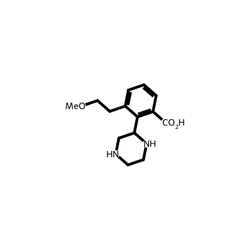 COCCc1cccc(C(=O)O)c1C1CNCCN1